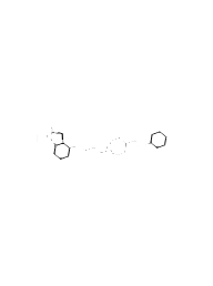 c1ccc(OCC2CCN(CCCOc3cccc4[nH]ncc34)CC2)cc1